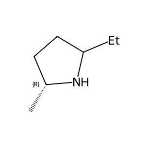 CCC1CC[C@@H](C)N1